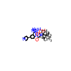 CC(C)C[C@H](C(=O)Nc1ccc(-c2ccncc2)cc1-c1nn[nH]n1)N(C(=O)O)C(C)(C)C